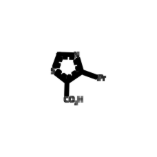 CC(C)c1n[c]sc1C(=O)O